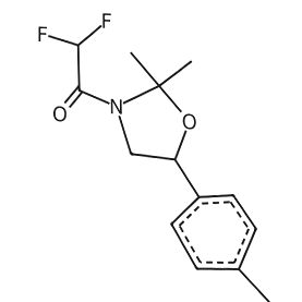 Cc1ccc(C2CN(C(=O)C(F)F)C(C)(C)O2)cc1